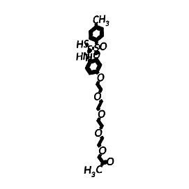 CC(=O)COCCOCCOCCOCCOc1ccc(N[SH](S)S(=O)(=O)c2ccc(C)cc2)cc1